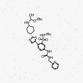 CC(C)(C)NS(=O)(=O)c1cc(NC(=O)NCc2ccccn2)ccc1-c1cnc([C@H]2CC[C@H](NC(O)OC(C)(C)C)CC2)s1